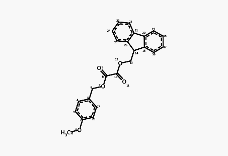 COc1ccc(COC(=O)C(=O)OCC2c3ccccc3-c3ccccc32)cc1